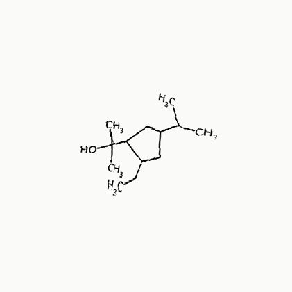 CCC1CC(C(C)C)CC1C(C)(C)O